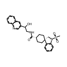 CS(=O)(=O)N1C[C@]2(CC[C@@H](C(=O)NCC(O)c3cnc4ccccc4c3)CC2)c2ccccc21